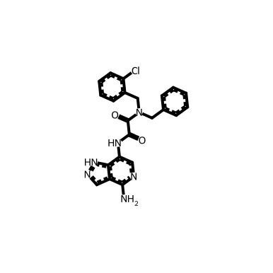 Nc1ncc(NC(=O)C(=O)N(Cc2ccccc2)Cc2ccccc2Cl)c2[nH]ncc12